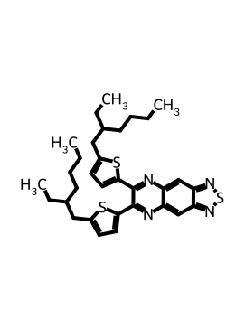 CCCCC(CC)Cc1ccc(-c2nc3cc4nsnc4cc3nc2-c2ccc(CC(CC)CCCC)s2)s1